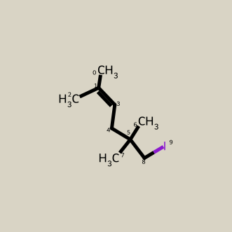 CC(C)=CCC(C)(C)CI